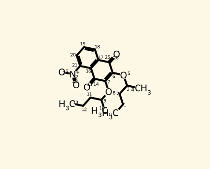 CCCC(C)OC1=C(OC(C)CCC)C(=O)c2c(cccc2[N+](=O)[O-])C1=O